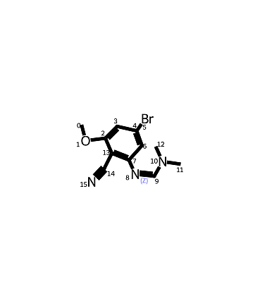 COc1cc(Br)cc(/N=C\N(C)C)c1C#N